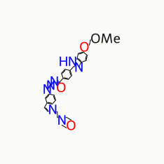 COCCOc1ccc2nc(-c3ccc(C(=O)N=[N+]=Nc4ccc5c(ccn5CCN5CCOCC5)c4)cc3)[nH]c2c1